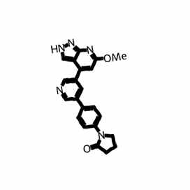 COc1cc(-c2cncc(-c3ccc(N4CCCC4=O)cc3)c2)c2c[nH]nc2n1